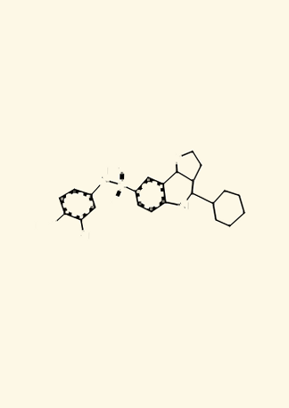 Cc1ccc(NS(=O)(=O)c2ccc3c(c2)C2OCCC2C(C2CCCCC2)N3)cc1C